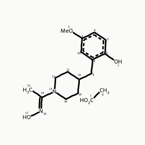 CC(=O)O.COc1ccc(O)c(CC2CCN(C(C)=NO)CC2)c1